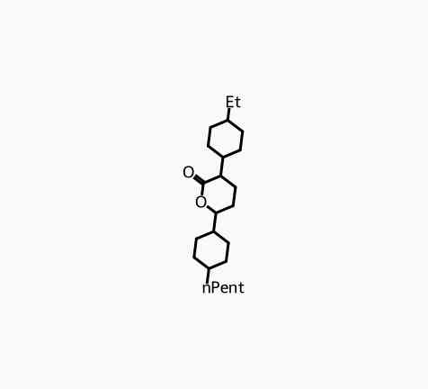 CCCCCC1CCC(C2CCC(C3CCC(CC)CC3)C(=O)O2)CC1